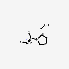 [O-]/[NH+]=[N+](\[O-])N1CCC[C@H]1CO